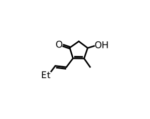 CCC=CC1=C(C)C(O)CC1=O